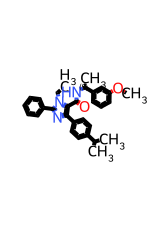 CCn1c(-c2ccccc2)nc(-c2ccc(C(C)C)cc2)c1C(=O)N[C@@H](C)c1cccc(OC)c1